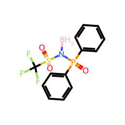 BN(P(=O)(c1ccccc1)c1ccccc1)S(=O)(=O)C(F)(F)F